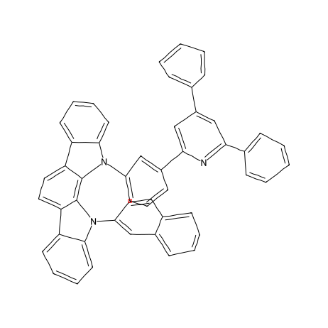 c1ccc(-c2cc(-c3ccccc3)nc(-c3cccc(-n4c5ccccc5c5ccc6c7ccccc7n(-c7ccc8ccccc8c7)c6c54)c3)c2)cc1